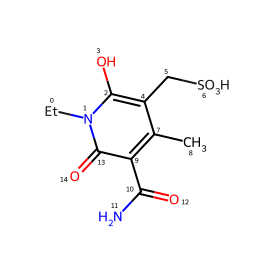 CCn1c(O)c(CS(=O)(=O)O)c(C)c(C(N)=O)c1=O